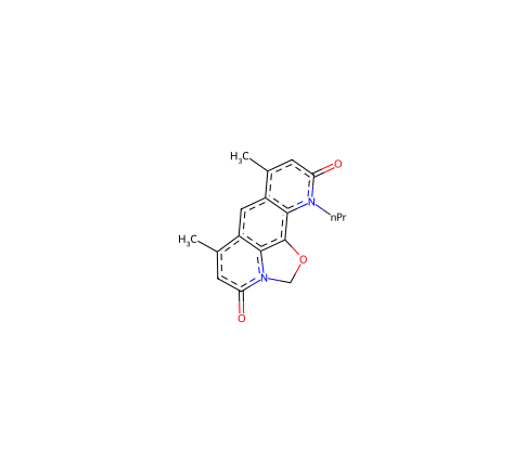 CCCn1c(=O)cc(C)c2cc3c(C)cc(=O)n4c3c(c21)OC4